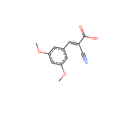 COc1cc(/C=C(\C#N)C(=O)O)cc(OC)c1